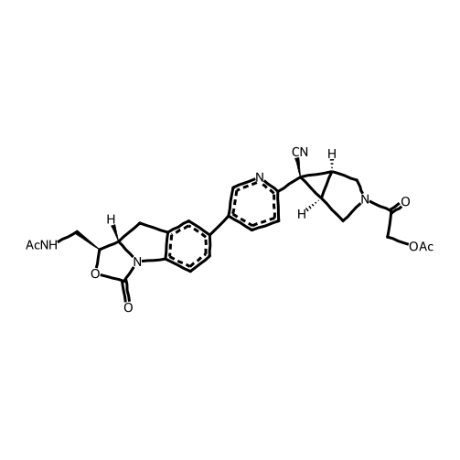 CC(=O)NC[C@@H]1OC(=O)N2c3ccc(-c4ccc([C@@]5(C#N)[C@@H]6CN(C(=O)COC(C)=O)C[C@@H]65)nc4)cc3C[C@@H]12